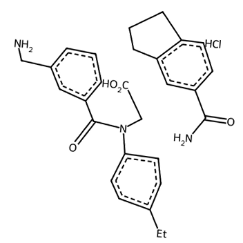 CCc1ccc(N(CC(=O)O)C(=O)c2cccc(CN)c2)cc1.Cl.NC(=O)c1ccc2c(c1)CCC2